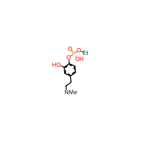 CCOP(=O)(O)Oc1ccc(CCNC)cc1O